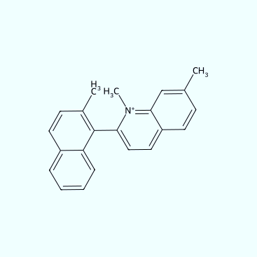 Cc1ccc2ccc(-c3c(C)ccc4ccccc34)[n+](C)c2c1